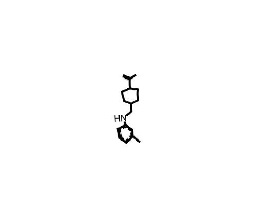 C=C(C)C1CCC(CNc2cccc(C)c2)CC1